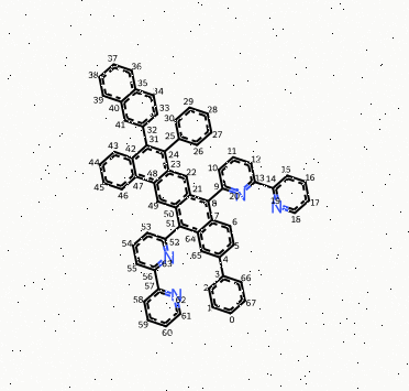 c1ccc(-c2ccc3c(-c4cccc(-c5ccccn5)n4)c4cc5c(-c6ccccc6)c(-c6ccc7ccccc7c6)c6ccccc6c5cc4c(-c4cccc(-c5ccccn5)n4)c3c2)cc1